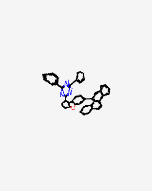 c1ccc(-c2nc(-c3ccccc3)nc(-c3cccc4oc5cc(-c6cc7ccccc7c7ccc8ccccc8c67)ccc5c34)n2)cc1